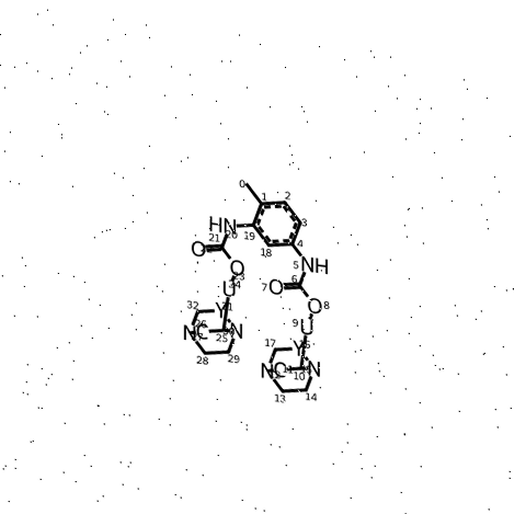 Cc1ccc(NC(=O)[O][U][CH]2CN3CC[N]2[Y][CH2]3)cc1NC(=O)[O][U][CH]1CN2CC[N]1[Y][CH2]2